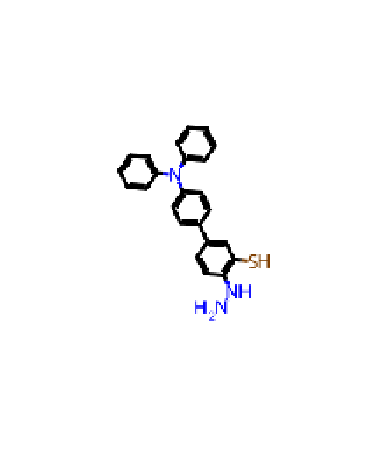 NNc1ccc(-c2ccc(N(c3ccccc3)c3ccccc3)cc2)cc1S